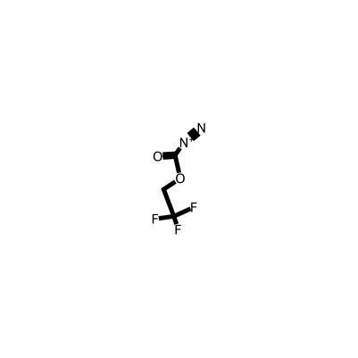 N#[N+]C(=O)OCC(F)(F)F